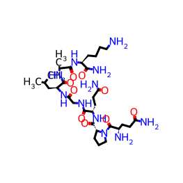 CC(C)C[C@H](NC(=O)CNC(=O)[C@H](CCC(N)=O)NC(=O)[C@H]1CCCN1C(=O)[C@@H](N)CCC(N)=O)C(=O)N[C@@H](C)C(=O)N[C@@H](CCCCN)C(N)=O